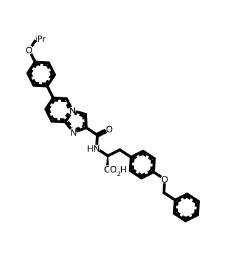 CC(C)Oc1ccc(-c2ccc3nc(C(=O)N[C@@H](Cc4ccc(OCc5ccccc5)cc4)C(=O)O)cn3c2)cc1